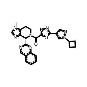 O=C(c1nnc(-c2cnn(C3CCC3)c2)o1)N1CCc2[nH]cnc2[C@H]1c1ncc2ccccc2n1